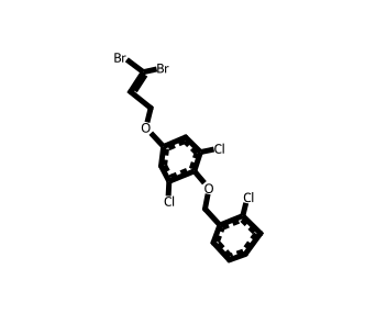 Clc1ccccc1COc1c(Cl)cc(OCC=C(Br)Br)cc1Cl